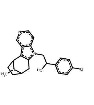 CN1C2CCC1c1c(n(CC(O)c3ccc(Cl)cc3)c3ccncc13)C2